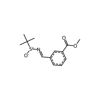 COC(=O)c1cccc(/C=N/[S+]([O-])C(C)(C)C)c1